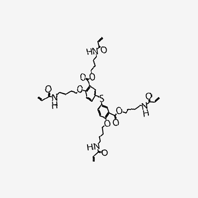 C=CC(=O)NCCCCOC(=O)c1cc(Sc2ccc(OCCCCNC(=O)C=C)c(C(=O)OCCCCNC(=O)C=C)c2)ccc1OCCCCNC(=O)C=C